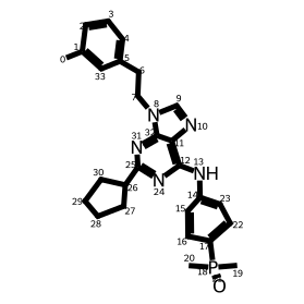 Cc1cccc(CCn2cnc3c(Nc4ccc(P(C)(C)=O)cc4)nc(C4CCCC4)nc32)c1